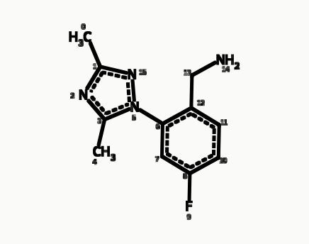 Cc1nc(C)n(-c2cc(F)ccc2CN)n1